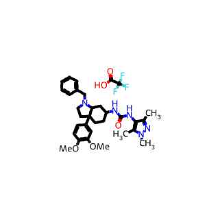 COc1ccc(C23CCC(NC(=O)Nc4c(C)nn(C)c4C)CC2N(Cc2ccccc2)CC3)cc1OC.O=C(O)C(F)(F)F